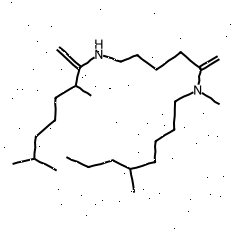 C=C(NCCCCC(=C)N(C)CCCCC(C)CCC)C(C)CCCC(C)C